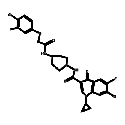 O=C(COc1ccc(Cl)c(F)c1)NC1CCN(NC(=O)c2cn(C3CC3)c3cc(Cl)c(F)cc3c2=O)CC1